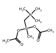 CC(=O)O[Si](C)(C[N+](C)(C)C)OC(C)=O